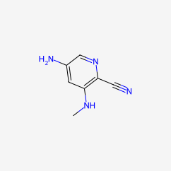 CNc1cc(N)cnc1C#N